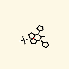 F[B-](F)(F)F.[CH2]C(P(C1CCCC1)C1CCCC1)P(C1CCCC1)C1CCCC1